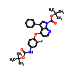 CC(C)(C)OC(=O)Nc1ccc(Oc2ccnc3c2c(-c2ccccc2)cn3C(=O)OC(C)(C)C)c(F)c1